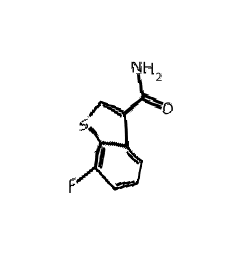 NC(=O)c1csc2c(F)cccc12